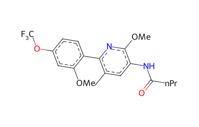 CCCC(=O)Nc1cc(C)c(-c2ccc(OC(F)(F)F)cc2OC)nc1OC